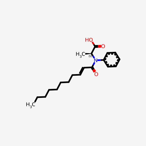 CCCCCCCCC=CC(=O)N(c1ccccc1)[C@@H](C)C(=O)O